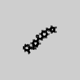 Cc1cncnc1Nc1ccc(C(=O)CC2CCN(Cc3cccs3)CC2)cc1